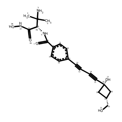 CC(C)(N)[C@H](NC(=O)c1ccc(C#CC#C[C@]2(O)C[C@@H](CO)C2)cc1)C(=O)NO